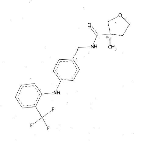 C[C@@]1(C(=O)NCc2ccc(Nc3ccccc3C(F)(F)F)cc2)CCOC1